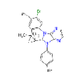 CC(C)c1ccc(N2c3nccnc3N3c4cc(Br)c(C(C)C)cc4C4(C)CC4(C)C23)cc1